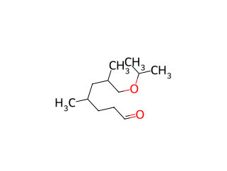 CC(CCC=O)CC(C)COC(C)C